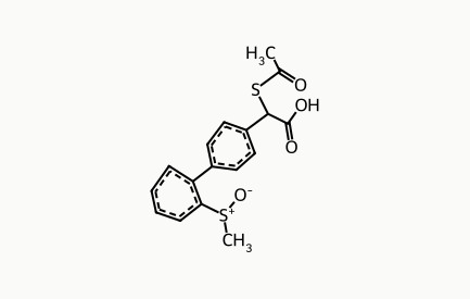 CC(=O)SC(C(=O)O)c1ccc(-c2ccccc2[S+](C)[O-])cc1